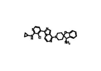 N[C@@H]1c2ccccc2OC12CCN(c1nccn3c(-c4ccnc(NC5CC5)c4Cl)ncc13)CC2